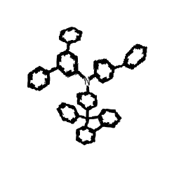 c1ccc(-c2ccc(N(c3ccc(C4(c5ccccc5)c5ccccc5-c5ccccc54)cc3)c3cc(-c4ccccc4)cc(-c4ccccc4)c3)cc2)cc1